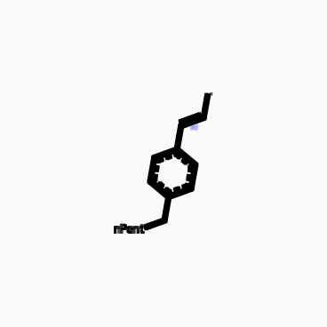 [CH2]/C=C/c1ccc(CCCCCC)cc1